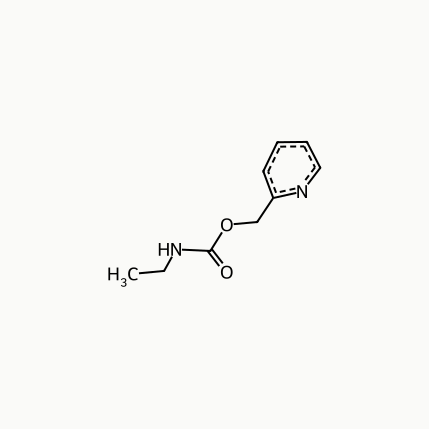 CCNC(=O)OCc1ccccn1